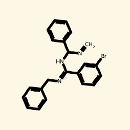 C=NC(N/C(=N\Cc1ccccc1)c1cccc(Br)c1)c1ccccc1